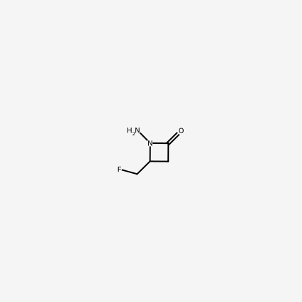 NN1C(=O)CC1CF